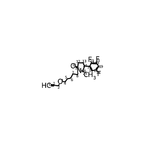 C#CCOCCCCCN1C(=O)CCC(c2cc(F)cc(F)c2F)C1C